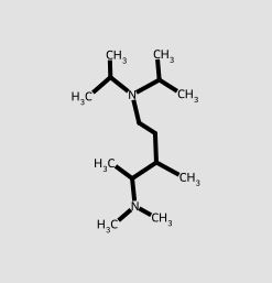 CC(CCN(C(C)C)C(C)C)C(C)N(C)C